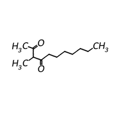 CCCCCCCC(=O)C(C)C(C)=O